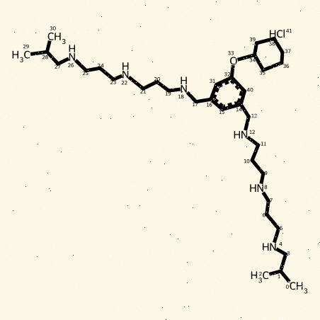 CC(C)CNCCCNCCCNCc1cc(CNCCCNCCCNCC(C)C)cc(OC2CCCCC2)c1.Cl